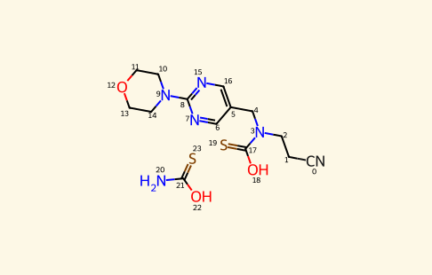 N#CCCN(Cc1cnc(N2CCOCC2)nc1)C(O)=S.NC(O)=S